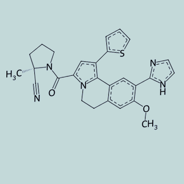 COc1cc2c(cc1-c1ncc[nH]1)-c1c(-c3cccs3)cc(C(=O)N3CCC[C@]3(C)C#N)n1CC2